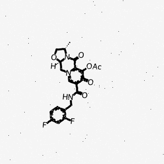 CC(=O)Oc1c2n(cc(C(=O)NCc3ccc(F)cc3F)c1=O)C[C@H]1OC[C@H](C)N1C2=O